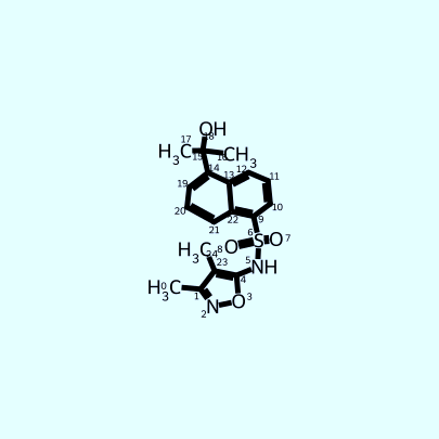 Cc1noc(NS(=O)(=O)c2cccc3c(C(C)(C)O)cccc23)c1C